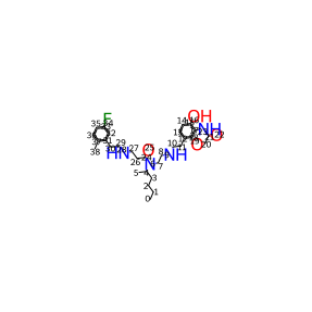 CCCCC(C)N(CCNCCc1ccc(O)c2c1OCC(=O)N2)C(=O)CCNCCc1cc(F)ccc1C